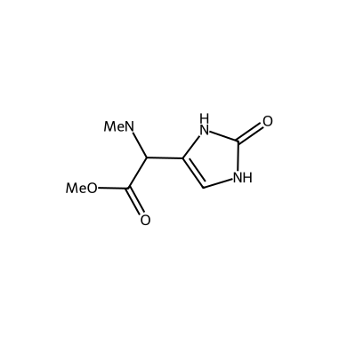 CNC(C(=O)OC)c1c[nH]c(=O)[nH]1